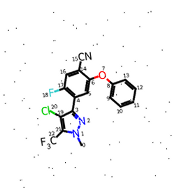 Cn1nc(-c2cc(Oc3ccccc3)c(C#N)cc2F)c(Cl)c1C(F)(F)F